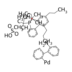 CCCc1cc(CCC)c(-c2ccccc2P(C(C)(C)C)C(C)(C)C)c(CCC)c1.CS(=O)(=O)O.Nc1ccccc1-c1cccc[c]1[Pd]